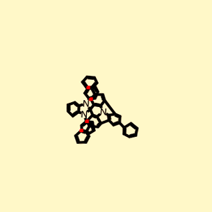 c1ccc(-c2cc3c4c(c2)c2cc(-c5ccccc5)cc5c6cc(-c7ccccc7)cc(c6n4c25)C32N(c3ccccc3)c3ccccc3N2c2ccccc2)cc1